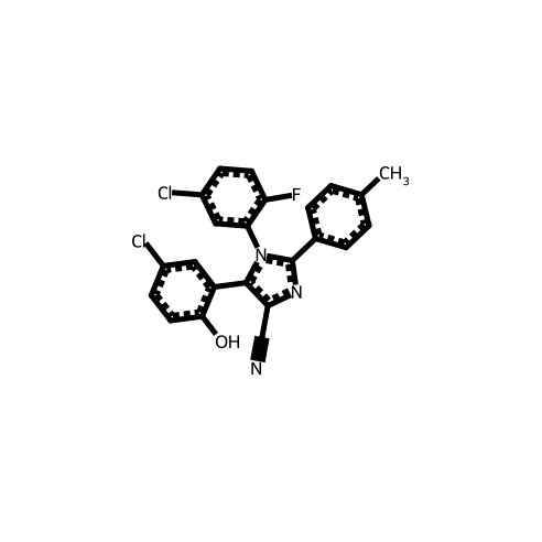 Cc1ccc(-c2nc(C#N)c(-c3cc(Cl)ccc3O)n2-c2cc(Cl)ccc2F)cc1